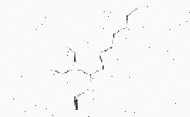 C=COC(CCCCCCC)N(CC)CC